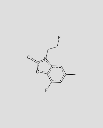 Cc1cc(F)c2oc(=O)n(CCF)c2c1